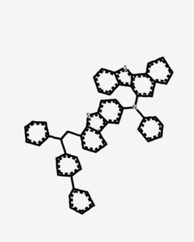 c1ccc(-c2ccc(C(Cc3cccc4c3sc3ccc(N(c5ccccc5)c5cc6ccccc6c6sc7ccccc7c56)cc34)c3ccccc3)cc2)cc1